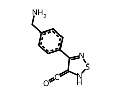 NCc1ccc(C2=NSNC2=C=O)cc1